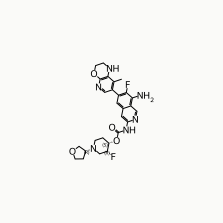 Cc1c(-c2cc3cc(NC(=O)O[C@H]4CCN([C@@H]5CCOC5)C[C@H]4F)ncc3c(N)c2F)cnc2c1NCCO2